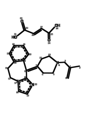 C=C(C)CN1CCC(=C2c3ccccc3CCn3ccnc32)CC1.O=C(O)C=CC(=O)O